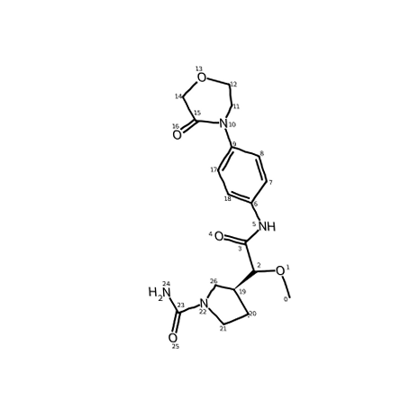 COC(C(=O)Nc1ccc(N2CCOCC2=O)cc1)[C@H]1[CH]CN(C(N)=O)C1